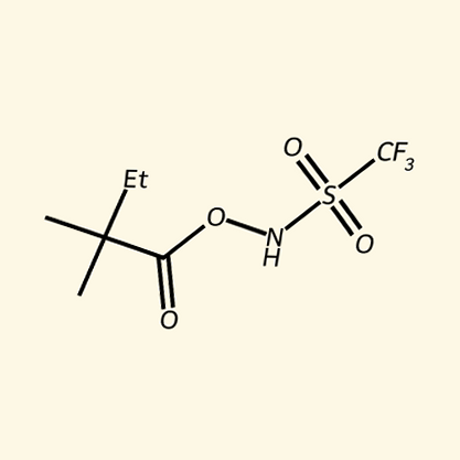 CCC(C)(C)C(=O)ONS(=O)(=O)C(F)(F)F